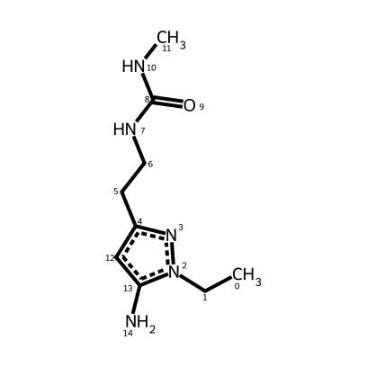 CCn1nc(CCNC(=O)NC)cc1N